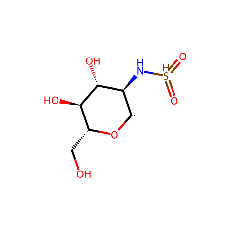 O=[SH](=O)N[C@H]1[CH]O[C@H](CO)[C@@H](O)[C@@H]1O